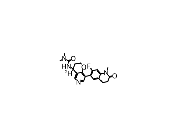 [2H][C@@]1(NC(=O)N(C)C)CCOc2c(-c3cc4c(cc3F)N(C)C(=O)CC4)cncc21